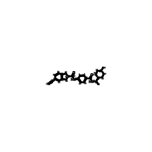 CC(NC(=O)c1ccc(NC(=O)N2Cc3ccc(C#N)cc3C2)cc1)N1CCN(C)CC1